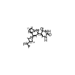 O=c1[nH]cc(-c2cc(N3CC(C(F)F)C3)c3nccn3n2)c(=O)[nH]1